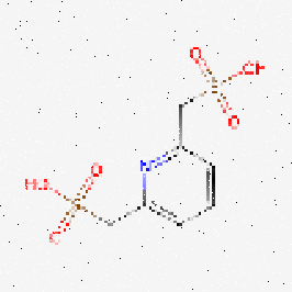 O=S(=O)(O)Cc1cccc(CS(=O)(=O)O)n1